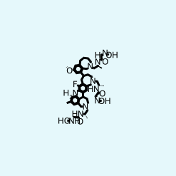 COc1cc2c(c(C3CCN(C[C@H](C)NC(=O)/C=N\O)Cc4cc(C5CCN(C[C@H](C)NC(=O)CNO)Cc6cc(C)ccc65)c(N)c(F)c4C3)c1)CN(C[C@H](C)NC(=O)/C=N\O)CCCC2